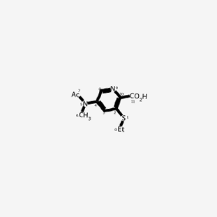 CCSc1cc(N(C)C(C)=O)cnc1C(=O)O